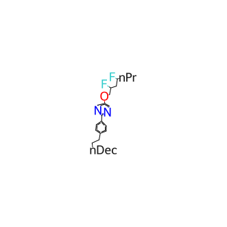 CCCCCCCCCCCCc1ccc(-c2ncc(OCC(F)CC(F)CCC)cn2)cc1